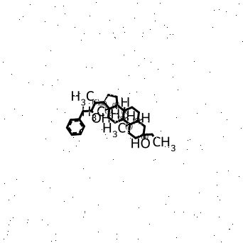 CC[C@]1(O)CC[C@@]2(C)[C@@H](CC[C@@H]3[C@@H]2CC[C@]2(C)[C@@H]([C@H](C)C(O)Cc4ccccc4)CC[C@@H]32)C1